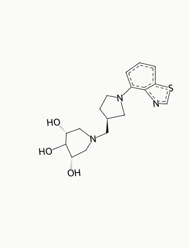 OC1[C@H](O)CN(C[C@H]2CCN(c3cccc4scnc34)C2)C[C@@H]1O